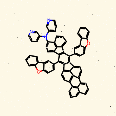 c1cncc(N(c2cccnc2)c2ccc3c4c(-c5ccc6oc7ccccc7c6c5)c5c6ccc7c8cccc9cccc(c%10ccc(c5c(-c5ccc%11oc%12ccccc%12c%11c5)c4c4cccc2c43)c6c%107)c98)c1